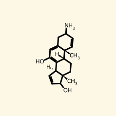 C[C@]12C=CC(N)CC1=CC(O)=C1[C@H]2CC[C@]2(C)C(O)C=C[C@@H]12